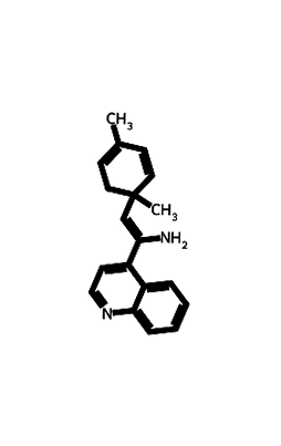 CC1=CCC(C)(C=C(N)c2ccnc3ccccc23)C=C1